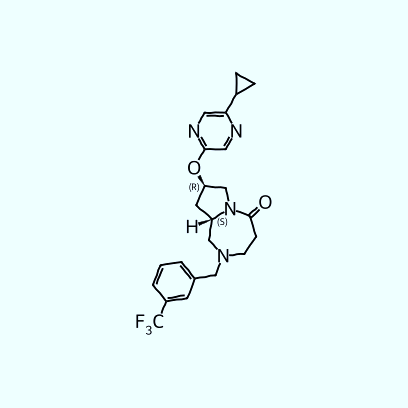 O=C1CCN(Cc2cccc(C(F)(F)F)c2)C[C@@H]2C[C@@H](Oc3cnc(C4CC4)cn3)CN12